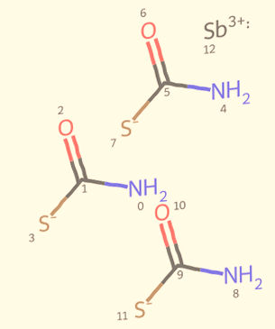 NC(=O)[S-].NC(=O)[S-].NC(=O)[S-].[Sb+3]